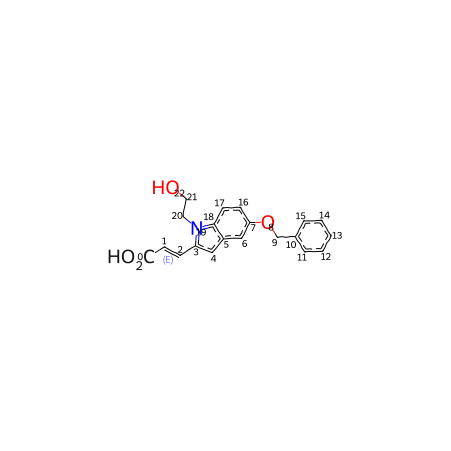 O=C(O)/C=C/c1cc2cc(OCc3ccccc3)ccc2n1CCO